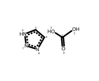 O=C(O)O.c1c[nH]nn1